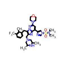 Cc1c(Cc2c(CN3CC(C)NC(C)C3)nc3c(-c4cn(S(=O)(=O)N(C)C)cn4)cc(N4CCOCC4)nn23)cccc1C(F)(F)F